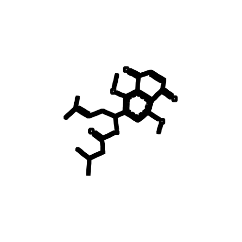 COc1cc(C(CC=C(C)C)SC(=O)CC(C)C)c(OC)c2c1C(=O)C=CC2=O